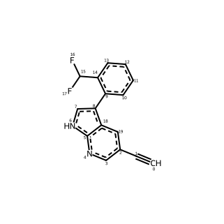 C#Cc1cnc2[nH]cc(-c3ccccc3C(F)F)c2c1